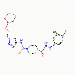 N=C(Nc1ccc(F)c(Br)c1)C(=O)C1CCN(C(=O)Nc2cnn(CCOC3CCCCO3)c2)CC1